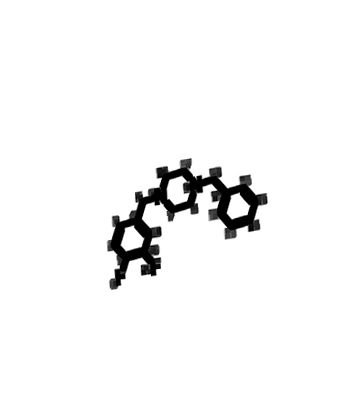 Fc1ccc(CN2CCN(Cc3ccccc3)CC2)cc1F